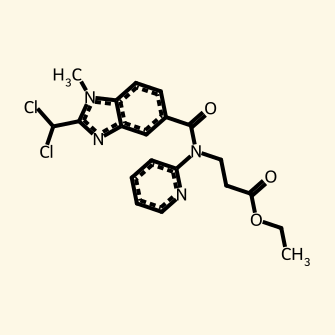 CCOC(=O)CCN(C(=O)c1ccc2c(c1)nc(C(Cl)Cl)n2C)c1ccccn1